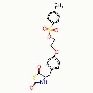 Cc1ccc(S(=O)(=O)OCCOc2ccc(CC3NC(=O)SC3=O)cc2)cc1